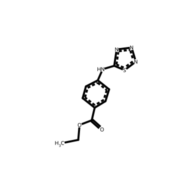 CCOC(=O)c1ccc(Nc2nnns2)cc1